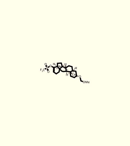 COCO[C@@H]1CC[C@@]2(C)[C@@H](CC[C@H]3[C@@H]4CC[C@@H]5C(OS(=O)(=O)C(F)(F)F)=CCCC54CC[C@@H]32)C1